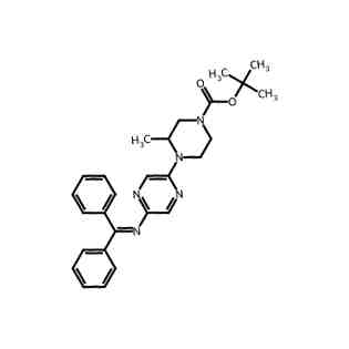 CC1CN(C(=O)OC(C)(C)C)CCN1c1cnc(N=C(c2ccccc2)c2ccccc2)cn1